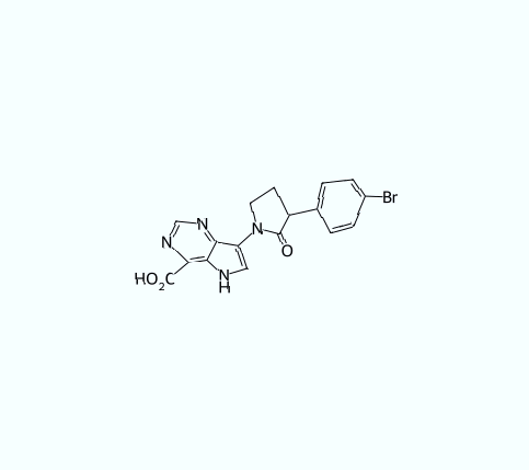 O=C(O)c1ncnc2c(N3CCC(c4ccc(Br)cc4)C3=O)c[nH]c12